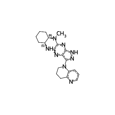 CN(c1cnc2c(N3CCCc4ncccc43)n[nH]c2n1)[C@@H]1CCCC[C@@H]1N